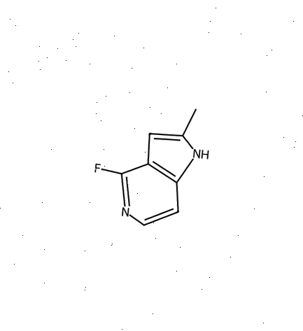 Cc1cc2c(F)nccc2[nH]1